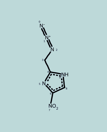 [N-]=[N+]=NCc1nc([N+](=O)[O-])c[nH]1